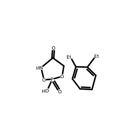 CCc1ccccc1CC.O=C1COP(=O)(O)ON1